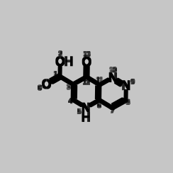 O=C(O)c1c[nH]c2ccnnc2c1=O